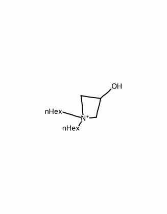 CCCCCC[N+]1(CCCCCC)CC(O)C1